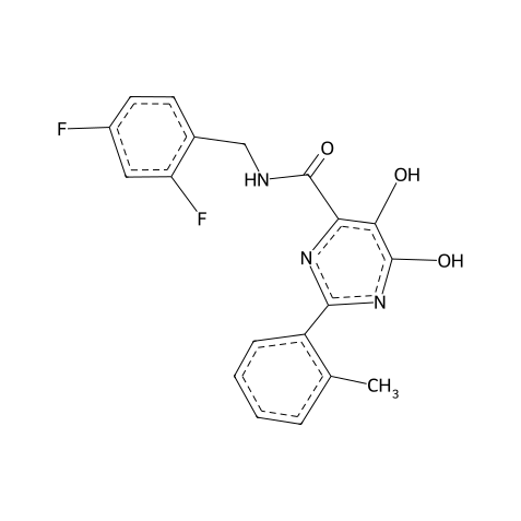 Cc1ccccc1-c1nc(O)c(O)c(C(=O)NCc2ccc(F)cc2F)n1